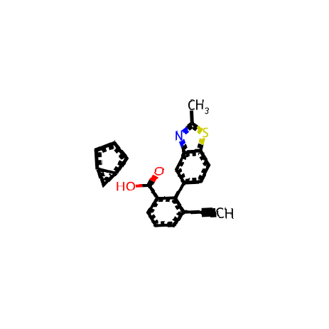 C#Cc1cccc(C(=O)O)c1-c1ccc2sc(C)nc2c1.c1cc2cc-2c1